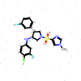 Cn1cnc(S(=O)(=O)N2C[C@@H](Nc3ccc(Cl)c(F)c3)[C@H](c3cccc(F)c3)C2)c1